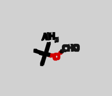 CC(C)(C)OC=O.[AlH3]